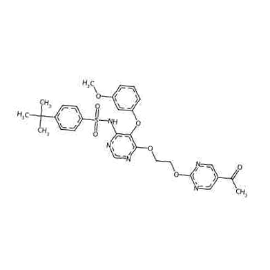 COc1cccc(Oc2c(NS(=O)(=O)c3ccc(C(C)(C)C)cc3)ncnc2OCCOc2ncc(C(C)=O)cn2)c1